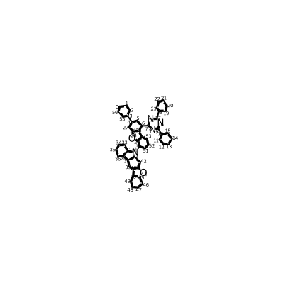 c1ccc(-c2cc(-c3nc(-c4ccccc4)nc(-c4ccccc4)n3)c3c(c2)oc2c(-n4c5ccccc5c5cc6c(cc54)oc4ccccc46)cccc23)cc1